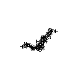 CC(C)C1=C2[C@H]3CC[C@@H]4[C@@]5(C)CC[C@H](OC(=O)[C@H]6C[C@@H](C(=O)O)C6(C)C)C(C)(C)[C@@H]5CC[C@@]4(C)[C@]3(C)CC[C@@]2(NC(=O)C(C)(C)c2nnc(-c3ccc4nc[nH]c4c3)o2)CC1=O